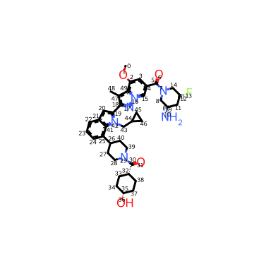 COc1cc(C(=O)N2C[C@H](N)C[C@@H](F)C2)cn2nc(-c3cc4cccc(C5CCN(C(=O)[C@H]6CC[C@@H](O)CC6)CC5)c4n3CC3CC3)c(C)c12